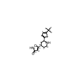 CC(C)(C)c1ccc([C@@H]2C[C@H](c3cc(=O)[nH]o3)CCN2)s1